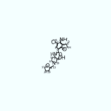 Nc1c(Cl)cc(C(=O)N[C@@H]2CCN(CC3CCCO3)C[C@H]2O)c2c1CCO2